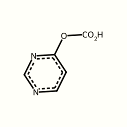 O=C(O)Oc1ccncn1